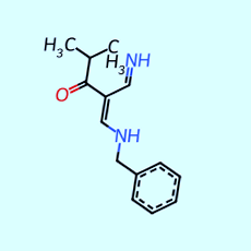 CC(C)C(=O)/C(C=N)=C/NCc1ccccc1